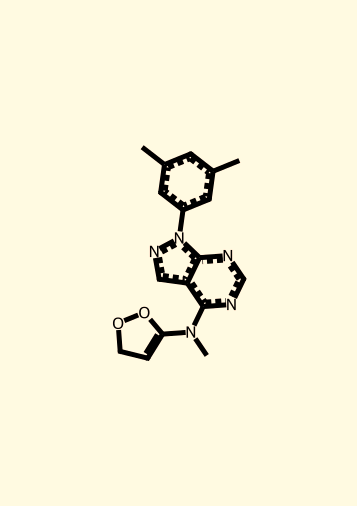 Cc1cc(C)cc(-n2ncc3c(N(C)C4=CCOO4)ncnc32)c1